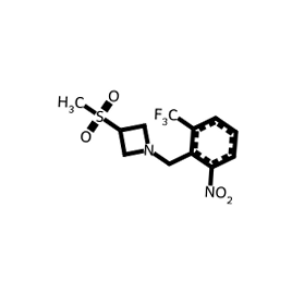 CS(=O)(=O)C1CN(Cc2c([N+](=O)[O-])cccc2C(F)(F)F)C1